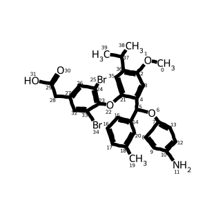 COc1cc(C(Oc2ccc(N)cc2)c2cccc(C)c2)c(Oc2c(Br)cc(CC(=O)O)cc2Br)cc1C(C)C